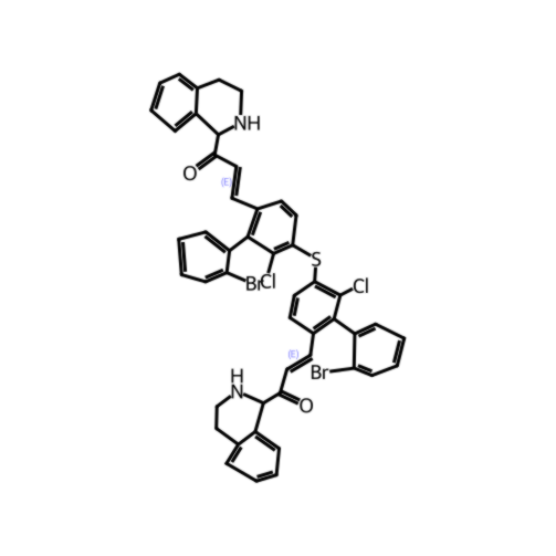 O=C(/C=C/c1ccc(Sc2ccc(/C=C/C(=O)C3NCCc4ccccc43)c(-c3ccccc3Br)c2Cl)c(Cl)c1-c1ccccc1Br)C1NCCc2ccccc21